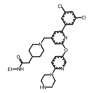 CCNC(=O)CC1CCN(Cc2cc(Oc3ccc(N4CCNCC4)nc3)nc(-c3cc(Cl)cc(Cl)c3)c2)CC1